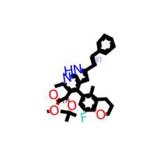 COC(=O)[C@@H](OC(C)(C)C)c1c(C)nc2[nH]c(/C=C/c3ccccc3)cc2c1-c1cc(F)c2c(c1C)CCCO2